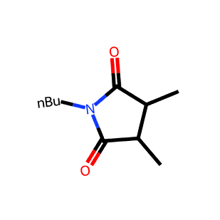 CCCCN1C(=O)C(C)C(C)C1=O